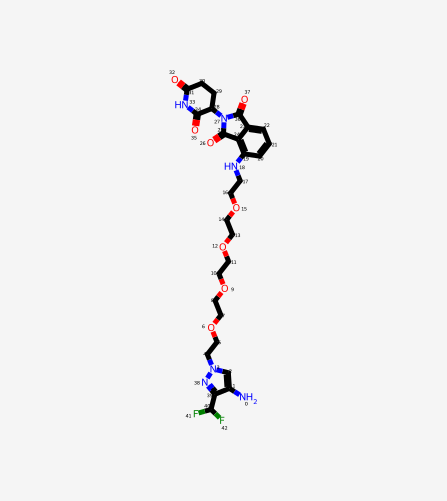 Nc1cn(CCOCCOCCOCCOCCNc2cccc3c2C(=O)N(C2CCC(=O)NC2=O)C3=O)nc1C(F)F